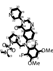 COc1cc(OC)c(F)c(N(Cc2nccn2S(=O)(=O)N(C)C)c2ccc3ncn(-c4cccnc4)c(=O)c3c2)c1F